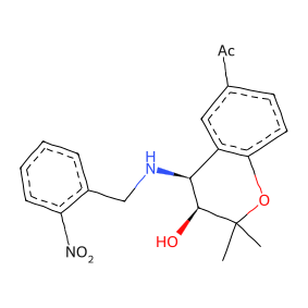 CC(=O)c1ccc2c(c1)[C@H](NCc1ccccc1[N+](=O)[O-])[C@H](O)C(C)(C)O2